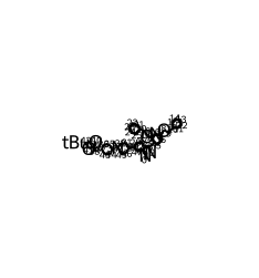 Cn1nc(-c2ccc(OCc3ccccc3)nc2OCc2ccccc2)c2ccc(C3=CCN([C@H]4CC[C@H](CC(=O)OC(C)(C)C)CC4)CC3)cc21